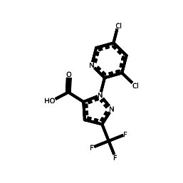 O=C(O)c1cc(C(F)(F)F)nn1-c1ncc(Cl)cc1Cl